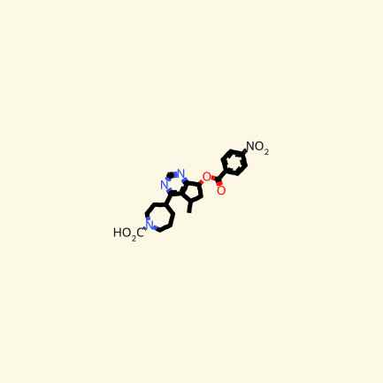 CC1CC(OC(=O)c2ccc([N+](=O)[O-])cc2)c2ncnc(C3CCCN(C(=O)O)CC3)c21